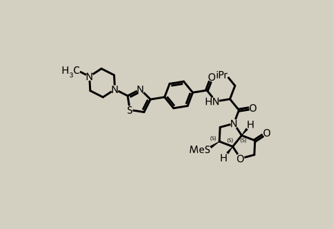 CS[C@H]1CN(C(=O)C(CC(C)C)NC(=O)c2ccc(-c3csc(N4CCN(C)CC4)n3)cc2)[C@@H]2C(=O)CO[C@H]12